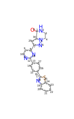 O=C1NCCn2nc(-c3ccnc(-c4ccc(-c5nc6ccccc6s5)cc4)n3)cc21